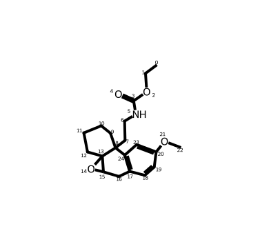 CCOC(=O)NCCC12CCCCC13OC3Cc1ccc(OC)cc12